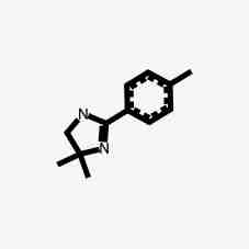 Cc1ccc(C2=NC(C)(C)C[N]2)cc1